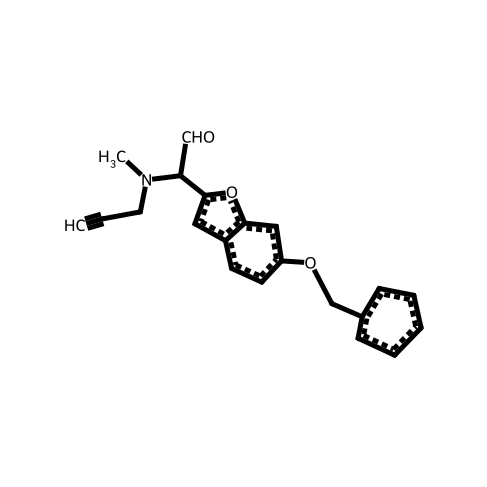 C#CCN(C)C(C=O)c1cc2ccc(OCc3ccccc3)cc2o1